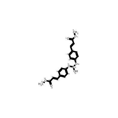 COC(=O)C=Cc1ccc(OB(O)Oc2ccc(C=CC(=O)OC)cc2)cc1